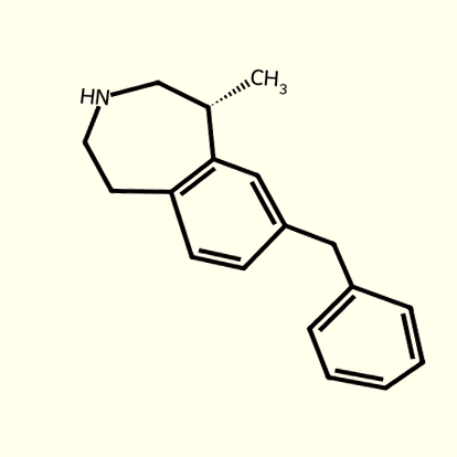 C[C@H]1CNCCc2ccc(Cc3ccccc3)cc21